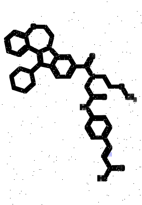 COCCN(CC(=O)Nc1ccc(/C=C/C(=O)O)cc1)C(=O)c1ccc2c(C3CCCCC3)c3n(c2c1)CCOc1ccccc1-3